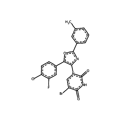 Cc1cccc(-c2nc(-n3cc(Br)c(=O)[nH]c3=O)c(-c3ccc(Cl)c(F)c3)o2)c1